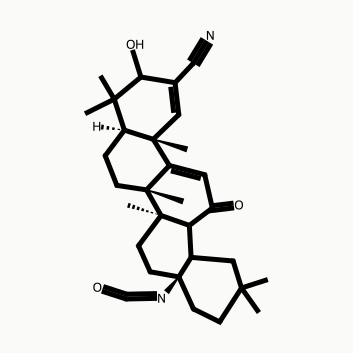 CC1(C)CC[C@]2(N=C=O)CC[C@]3(C)C(C(=O)C=C4[C@@]5(C)C=C(C#N)C(O)C(C)(C)[C@@H]5CC[C@]43C)C2C1